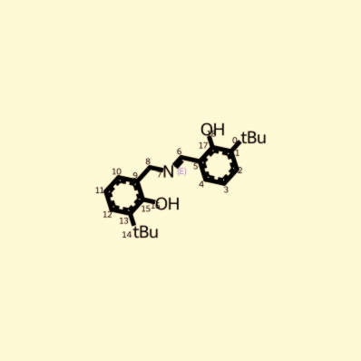 CC(C)(C)c1cccc(/C=N/Cc2cccc(C(C)(C)C)c2O)c1O